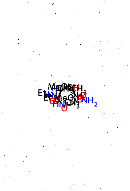 CCN(CC)CCNC1=C2C[C@@H](C)C[C@H](OC)[C@H](O)[C@@H](C)/C=C3\C(OC)[C@@H](CC/C=C(\C)C(=O)NC(=CC1=O)C2=O)[C@H]3OC(N)=O